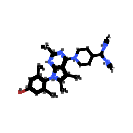 [C-]#[N+]C([N+]#[C-])C1CCN(c2nc(C)nc3c2c(C)c(C)n3-c2c(C)cc(Br)cc2C)CC1